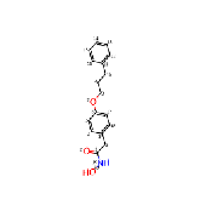 O=C(Cc1ccc(OCCCc2ccccc2)cc1)NO